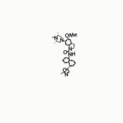 COc1cc2c(cc1N1C[C@@H](C)N(C)[C@@H](C)C1)N(C(=O)Nc1cccc3c(-c4cnc(C)o4)cccc13)CC2